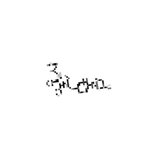 O=C1C(=O)N(C2CCCC2)CCN1Cc1ccc(N2CCC(F)C2)nc1